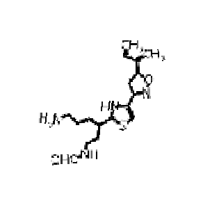 C=CC(=C)C1CC(C2=CSC(C(CCCN)CCNC=O)N2)=NO1